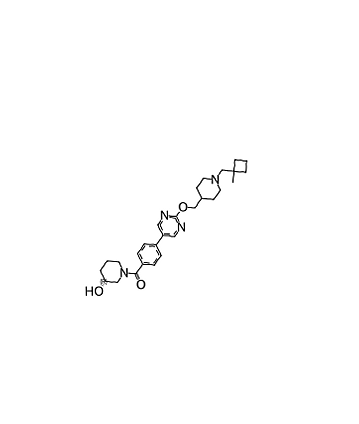 CC1(CN2CCC(COc3ncc(-c4ccc(C(=O)N5CCC[C@@H](O)C5)cc4)cn3)CC2)CCC1